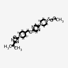 COOSN1CCN(c2cnc(OCC3CCN(c4nc(C(C)C)no4)CC3)cn2)CC1